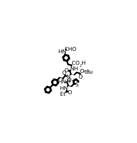 CCC(=O)N[C@H](Cc1cccs1)C(=O)N[C@@H](Cc1ccc(-c2ccccc2)cc1)C(=O)N[C@@H](CCC(=O)OC(C)(C)C)C(=O)N[C@@H](Cc1ccc(NC=O)cc1)C(=O)O